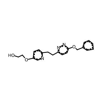 OCCOc1ccc(CCc2ccc(OCc3ccccc3)nn2)nc1